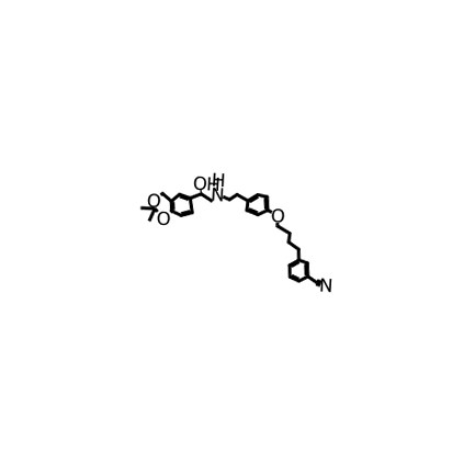 CC1(C)OCc2cc([C@H](O)CNCCc3ccc(OCCCCc4cccc(C#N)c4)cc3)ccc2O1